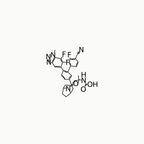 Cn1nnc2cc(-c3ccc(C(=O)N4C5CCC4CC(CC(C)(C)NC(=O)O)C5)cc3-c3ccc(C#N)c(F)c3)c(F)c(F)c21